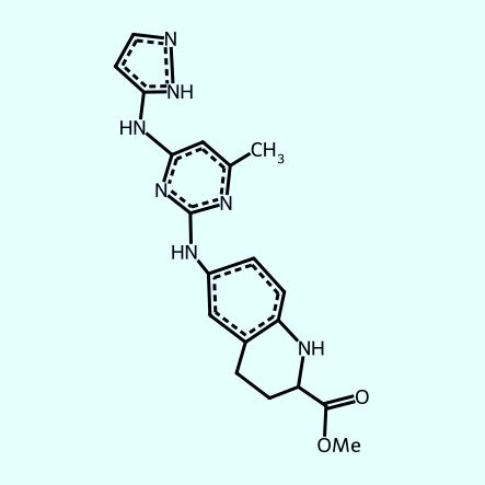 COC(=O)C1CCc2cc(Nc3nc(C)cc(Nc4ccn[nH]4)n3)ccc2N1